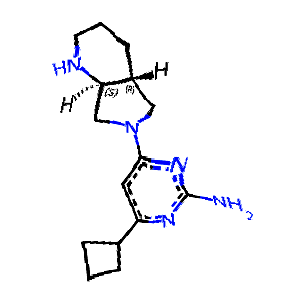 Nc1nc(C2CCC2)cc(N2C[C@H]3CCCN[C@@H]3C2)n1